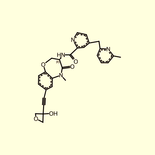 Cc1cccc(Cc2ccnc(C(=O)N[C@@H]3COc4ccc(C#CC5(O)COC5)cc4N(C)C3=O)c2)n1